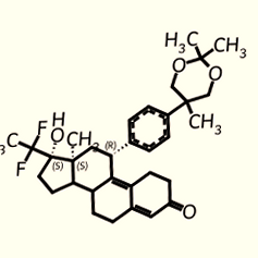 CC1(C)OCC(C)(c2ccc([C@H]3C[C@@]4(C)C(CC[C@@]4(O)C(F)(F)C(F)(F)F)C4CCC5=CC(=O)CCC5=C43)cc2)CO1